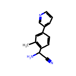 Cc1cc(-c2cccnc2)ccc1C(N)C#N